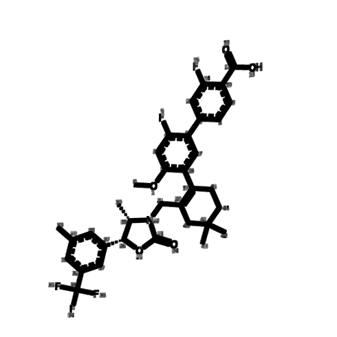 COc1cc(F)c(-c2ccc(C(=O)O)c(F)c2)cc1C1=C(CN2C(=O)O[C@H](c3cc(C)cc(C(F)(F)F)c3)[C@@H]2C)CC(C)(C)CC1